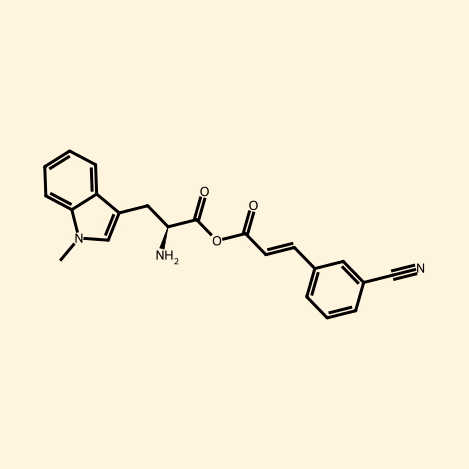 Cn1cc(C[C@H](N)C(=O)OC(=O)C=Cc2cccc(C#N)c2)c2ccccc21